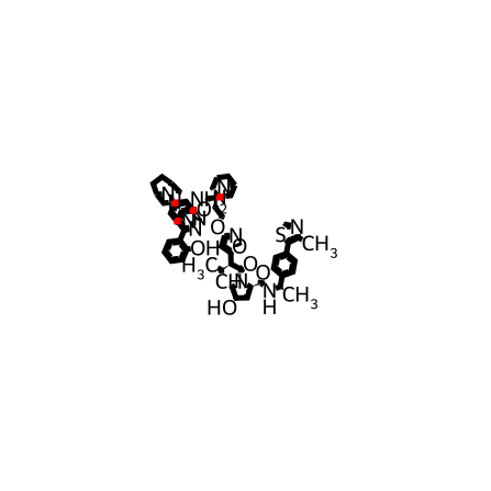 Cc1ncsc1-c1ccc([C@H](C)NC(=O)[C@@H]2C[C@@H](O)CN2C(=O)[C@@H](c2cc(OCCN3CC4CC(C3)N4CCOc3cc(N4C5CCC4CN(c4cc(-c6ccccc6O)nnc4N)C5)ccn3)no2)C(C)C)cc1